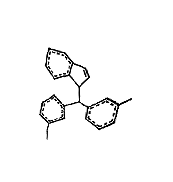 Cc1cccc(C(c2cccc(C)c2)C2C=Cc3ccccc32)c1